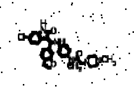 CN1CCN(CC(=O)N(C)c2ccc(N/C(=C3\C(=O)Nc4cc(Cl)ccc43)c3ccc4c(c3)OCC4)cc2)CC1